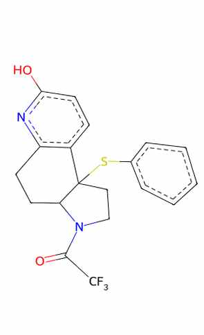 O=C(N1CCC2(Sc3ccccc3)c3ccc(O)nc3CCC12)C(F)(F)F